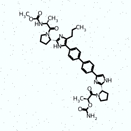 CCCc1nc([C@@H]2CCCN2C(=O)[C@H](C)NC(=O)OC)[nH]c1-c1ccc(-c2ccc(-c3c[nH]c([C@@H]4CCCN4C(=O)[C@H](C)OC(N)=O)n3)cc2)cc1